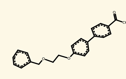 CC(=O)c1ccc(-c2ccc(OCCOCc3ccccc3)cc2)cc1